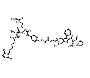 CCOCc1nc2c(NC(=O)[C@@H]3CCCN3C(=O)O)nc3ccccc3c2n1CC(C)(C)OCCNC(=O)OCc1ccc(NC(=O)[C@H](CCCNC(N)=O)NC(=O)[C@@H](NC(=O)CCCCCN2C(=O)C=CC2=O)C(C)C)cc1